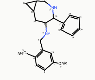 COc1ccc(OC)c(CNC2CC3CC3CNC2c2ccccc2)c1